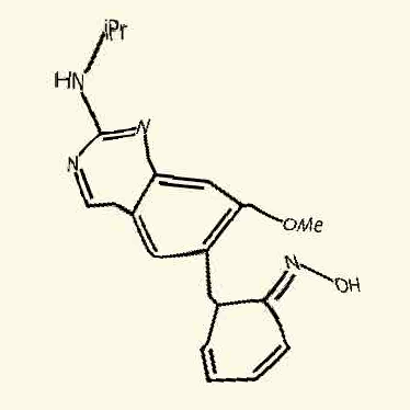 COc1cc2nc(NC(C)C)ncc2cc1C1C=CC=CC1=NO